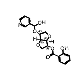 O=C(O[C@H]1CO[C@H]2[C@@H]1OC[C@H]2OC(O)c1cccnc1)c1ccccc1O